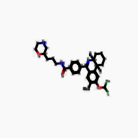 COc1cc2c(cc1OC(F)F)[C@H]1CCCC[C@H]1N=C2c1ccc(C(=O)NCCCC2CNCCO2)cc1